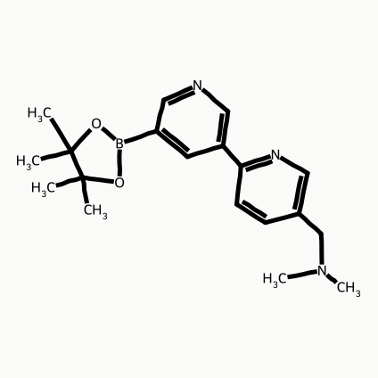 CN(C)Cc1ccc(-c2cncc(B3OC(C)(C)C(C)(C)O3)c2)nc1